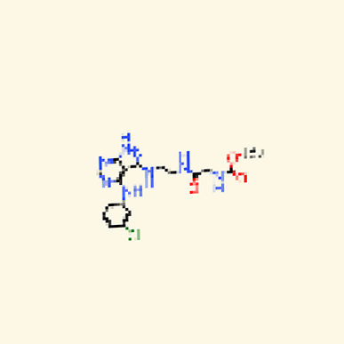 CC(C)(C)OC(=O)NCC(=O)NCCNc1n[nH]c2ncnc(Nc3cccc(Cl)c3)c12